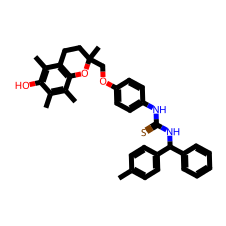 Cc1ccc(C(NC(=S)Nc2ccc(OCC3(C)CCc4c(C)c(O)c(C)c(C)c4O3)cc2)c2ccccc2)cc1